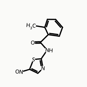 Cc1ccccc1C(=O)Nc1ncc(N=O)s1